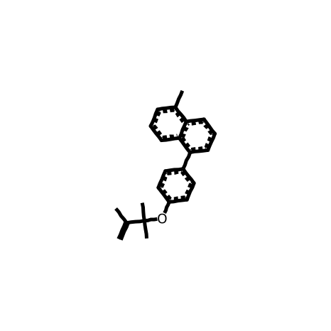 C=C(C)C(C)(C)Oc1ccc(-c2cccc3c(C)cccc23)cc1